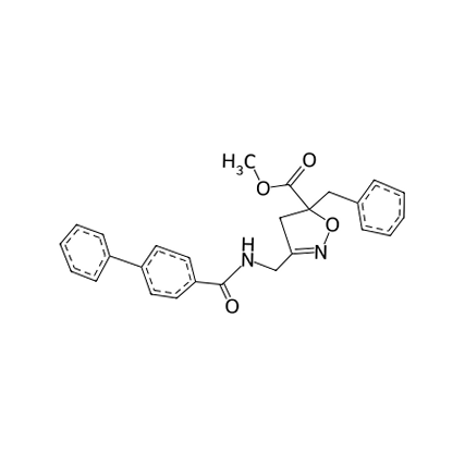 COC(=O)C1(Cc2ccccc2)CC(CNC(=O)c2ccc(-c3ccccc3)cc2)=NO1